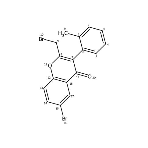 Cc1ccccc1-c1c(CBr)oc2ccc(Br)cc2c1=O